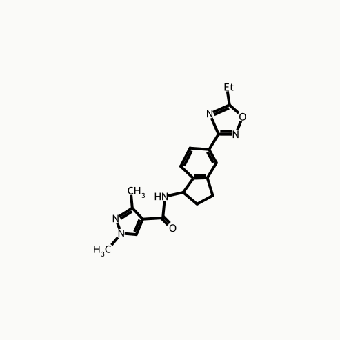 CCc1nc(-c2ccc3c(c2)CCC3NC(=O)c2cn(C)nc2C)no1